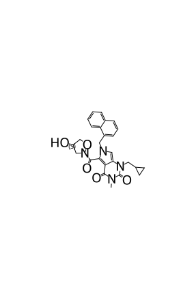 Cn1c(=O)c2c(C(=O)N3C[C@H](O)CO3)n(Cc3cccc4ccccc34)cc2n(CC2CC2)c1=O